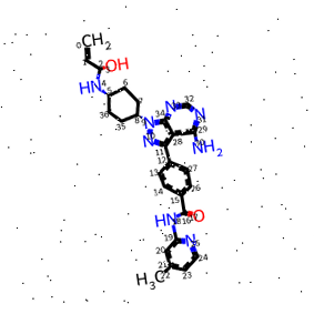 C=CC(O)N[C@H]1CC[C@H](n2nc(-c3ccc(C(=O)Nc4cc(C)ccn4)cc3)c3c(N)ncnc32)CC1